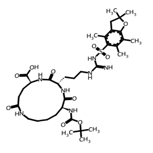 Cc1c(C)c(S(=O)(=O)NC(=N)NCCC[C@@H]2NC(=O)[C@@H](NC(=O)OC(C)(C)C)CCCCNC(=O)CC[C@@H](C(=O)O)NC2=O)c(C)c2c1OC(C)(C)C2